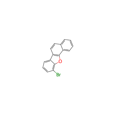 Brc1cccc2c1oc1c3ccccc3ccc21